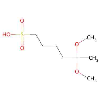 COC(C)(CCCCS(=O)(=O)O)OC